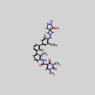 COc1cc(-c2cccc(-c3cccc(NC(=O)c4cn(C)c(=O)n(C)c4=O)c3C)c2Cl)cc(F)c1CN1CC2(CCNC2O)C1